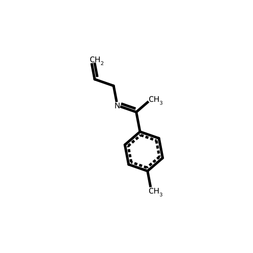 C=CCN=C(C)c1ccc(C)cc1